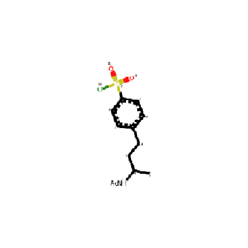 CC(=O)NC(C)CCc1ccc(S(=O)(=O)Cl)cc1